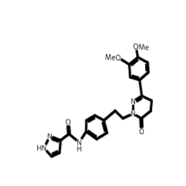 COc1ccc(C2=NN(CCc3ccc(NC(=O)c4cc[nH]n4)cc3)C(=O)CC2)cc1OC